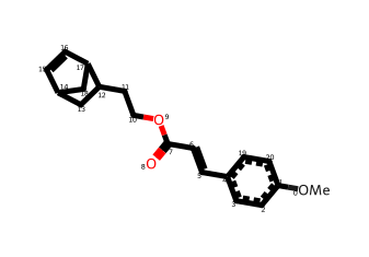 COc1ccc(/C=C/C(=O)OCCC2CC3C=CC2C3)cc1